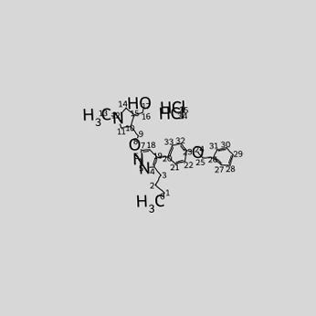 CCCCc1nnc(OCC2CN(C)CC2CO)cc1-c1ccc(OCc2ccccc2)cc1.Cl.Cl